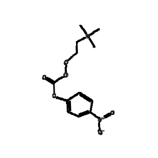 C[Si](C)(C)CCOOC(=O)Oc1ccc([N+](=O)[O-])cc1